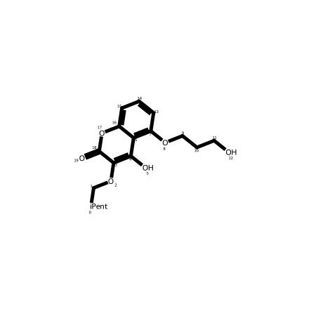 CCCC(C)COc1c(O)c2c(OCCCO)cccc2oc1=O